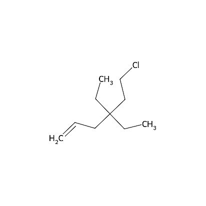 C=CCC(CC)(CC)CCCl